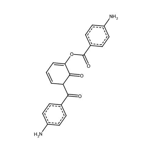 Nc1ccc(C(=O)OC2=CC=CC(C(=O)c3ccc(N)cc3)C2=O)cc1